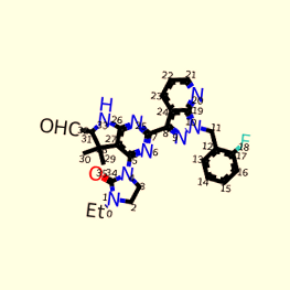 CCN1CCN(c2nc(-c3nn(Cc4ccccc4F)c4ncccc34)nc3c2C(C)(C)C(C=O)N3)C1=O